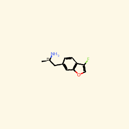 C[C@@H](N)Cc1ccc2c(F)coc2c1